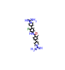 Cc1cc(C2=CCN(C(=N)N)CC2)ccc1C(=O)Nc1ccc(C2=CCN(C(=N)N)CC2)c(F)c1